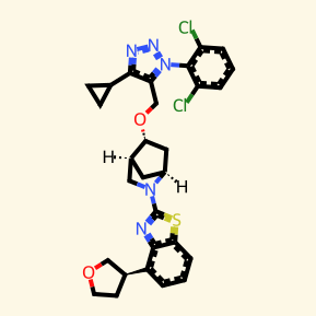 Clc1cccc(Cl)c1-n1nnc(C2CC2)c1CO[C@@H]1C[C@@H]2C[C@H]1CN2c1nc2c([C@H]3CCOC3)cccc2s1